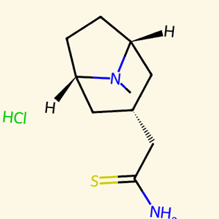 CN1[C@@H]2CC[C@H]1C[C@@H](CC(N)=S)C2.Cl